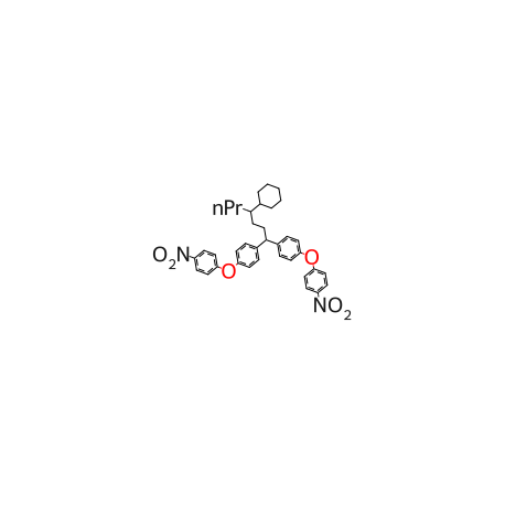 CCCC(CCC(c1ccc(Oc2ccc([N+](=O)[O-])cc2)cc1)c1ccc(Oc2ccc([N+](=O)[O-])cc2)cc1)C1CCCCC1